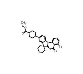 CCOC(=O)C1CCC(c2ccc3c(c2)C2(CCCCC2)c2nc(=O)c4c(Cl)cccc4n2-3)CC1